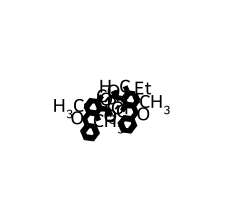 CCc1c(C)c(C(=O)c2ccccc2)c(C)c(C(=O)P(=O)(O)C(=O)c2c(C)cc(C)c(C(=O)c3ccccc3)c2C)c1C